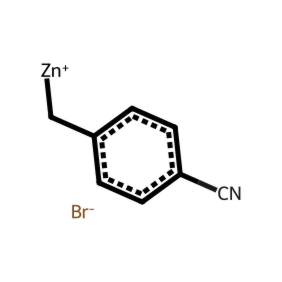 N#Cc1ccc([CH2][Zn+])cc1.[Br-]